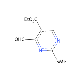 CCOC(=O)c1cnc(SC)nc1C=O